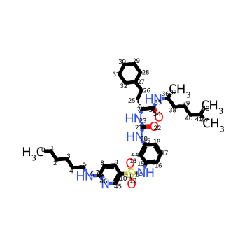 CCCCCCNc1ccc(S(=O)(=O)Nc2cccc(NC(=O)N[C@H](CCC3CCCCC3)C(=O)NC(C)CCCC(C)C)c2)cn1